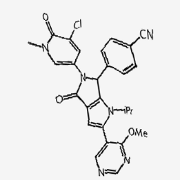 COc1ncncc1-c1cc2c(n1C(C)C)C(c1ccc(C#N)cc1)N(c1cc(Cl)c(=O)n(C)c1)C2=O